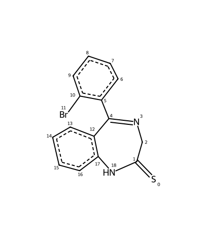 S=C1CN=C(c2ccccc2Br)c2ccccc2N1